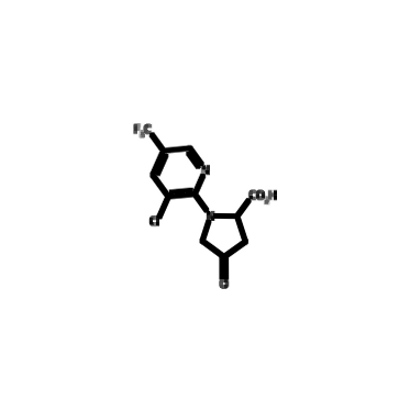 O=C1CC(C(=O)O)N(c2ncc(C(F)(F)F)cc2Cl)C1